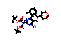 Cc1cccc(C=C2CCOCC2)c1-c1nc(N(C(=O)OC(C)(C)C)C(=O)OC(C)(C)C)nc(Cl)c1C